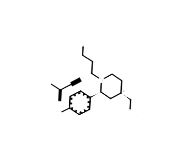 C=C(C)C#C[C@H](CCC(F)(F)F)N1CC[C@@H](CC(=O)O)C[C@H]1c1ccc(C(F)(F)F)cc1